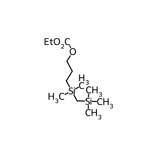 CCOC(=O)OCCC[Si](C)(C)C[Si](C)(C)C